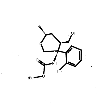 C[C@H]1C[C@@H](CO)[C@](NC(=O)OC(C)(C)C)(c2ccccc2F)CO1